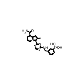 Cc1cc2c(C(N)=O)cccn2c1-c1ncnc(NCc2cccc(B(O)O)c2)n1